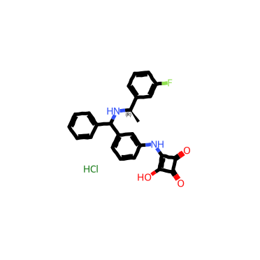 C[C@@H](NC(c1ccccc1)c1cccc(Nc2c(O)c(=O)c2=O)c1)c1cccc(F)c1.Cl